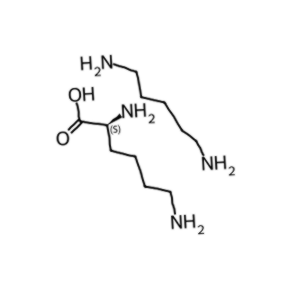 NCCCCCN.NCCCC[C@H](N)C(=O)O